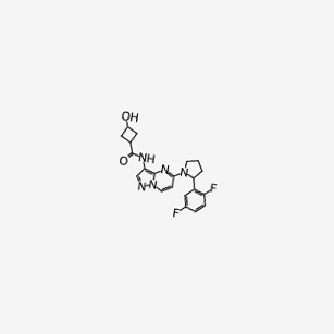 O=C(Nc1cnn2ccc(N3CCCC3c3cc(F)ccc3F)nc12)C1CC(O)C1